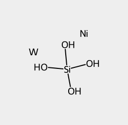 O[Si](O)(O)O.[Ni].[W]